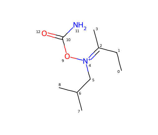 CCC(C)=[N+](CC(C)C)OC(N)=O